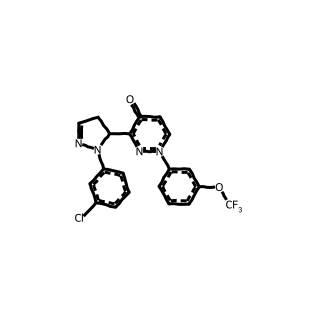 O=c1ccn(-c2cccc(OC(F)(F)F)c2)nc1C1CC=NN1c1cccc(Cl)c1